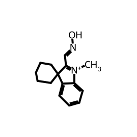 C[N+]1=C(C=NO)C2(CCCCC2)c2ccccc21